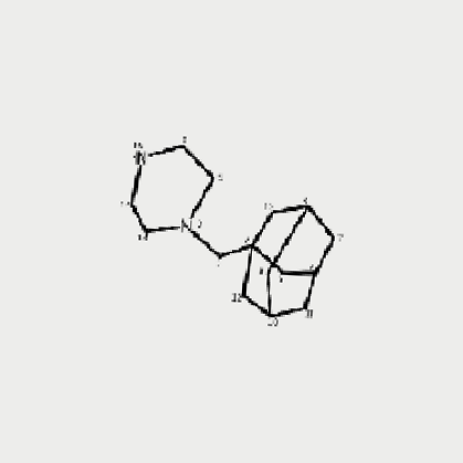 C1CN(CC23CC4CC(CC(C4)C2)C3)CC[N]1